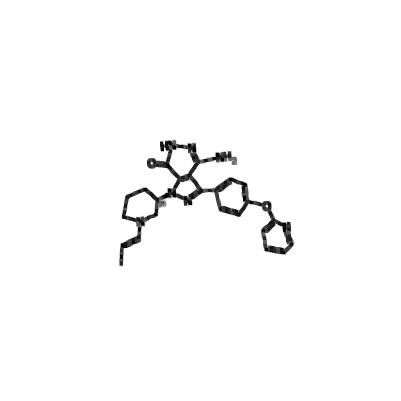 CC=CN1CCC[C@@H](n2nc(-c3ccc(Oc4ccccn4)cc3)c3c(N)n[nH]c(=O)c32)C1